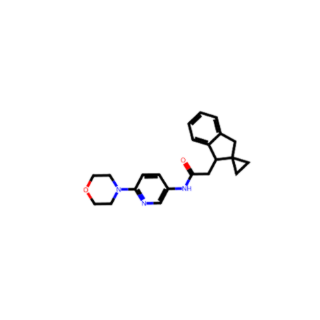 O=C(CC1c2ccccc2CC12CC2)Nc1ccc(N2CCOCC2)nc1